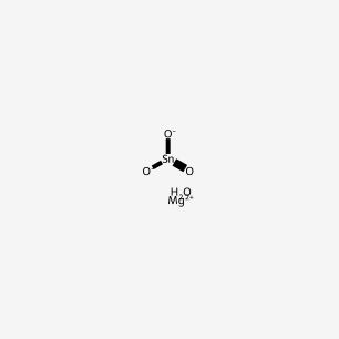 O.[Mg+2].[O]=[Sn]([O-])[O-]